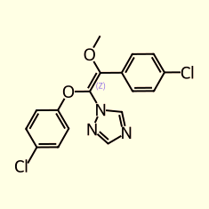 CO/C(=C(\Oc1ccc(Cl)cc1)n1cncn1)c1ccc(Cl)cc1